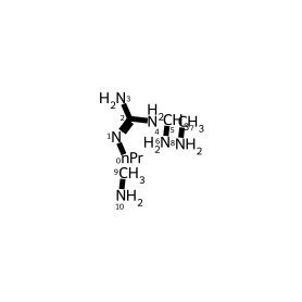 CCCN=C(N)N.CN.CN.CN